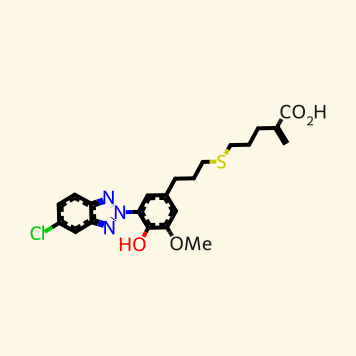 C=C(CCCSCCCc1cc(OC)c(O)c(-n2nc3ccc(Cl)cc3n2)c1)C(=O)O